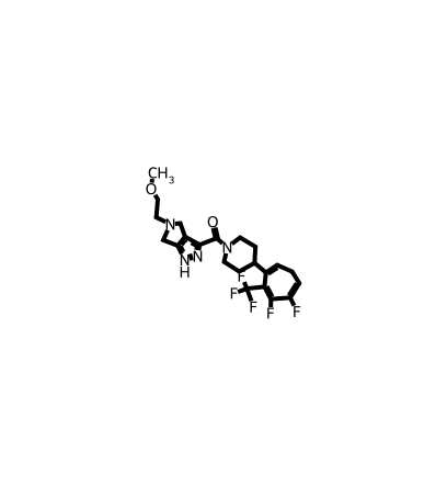 COCCN1Cc2[nH]nc(C(=O)N3CCC(C4=CCC=C(F)C(F)=C4C(F)(F)F)CC3)c2C1